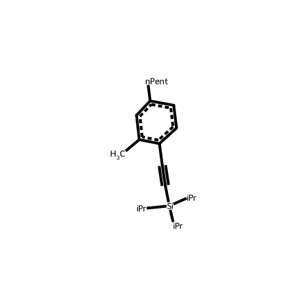 CCCCCc1ccc(C#C[Si](C(C)C)(C(C)C)C(C)C)c(C)c1